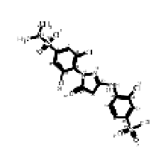 CN(C)S(=O)(=O)c1cc(Cl)c(N2N=C(Nc3ccc(S(=O)(=O)F)cc3Cl)CC2=O)c(Cl)c1